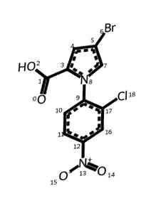 O=C(O)c1cc(Br)cn1-c1ccc([N+](=O)[O-])cc1Cl